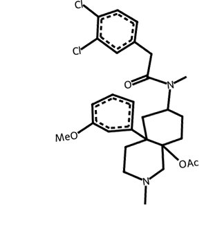 COc1cccc(C23CCN(C)CC2(OC(C)=O)CCC(N(C)C(=O)Cc2ccc(Cl)c(Cl)c2)C3)c1